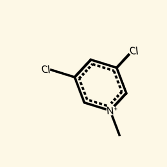 C[n+]1cc(Cl)cc(Cl)c1